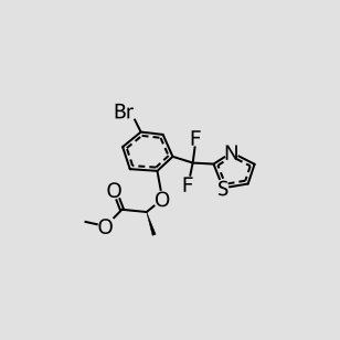 COC(=O)[C@H](C)Oc1ccc(Br)cc1C(F)(F)c1nccs1